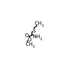 CCCSC[C@H](N)C(=O)OCC